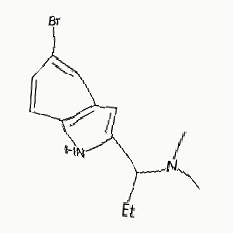 CCC(c1cc2cc(Br)ccc2[nH]1)N(C)C